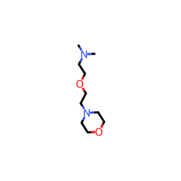 CN(C)CCOCCN1CCOCC1